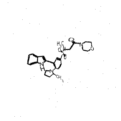 CC1CCCN1c1ccc(S(=O)(=O)N(C)CC(=O)N2CCOCC2)cc1-c1cc2ccccc2[nH]1